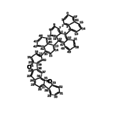 c1ccc2c(-c3c4ccccc4c(-c4ccc(-c5ccc6oc7cc8ccc9c%10ccccc%10oc9c8cc7c6c5)c5ccccc45)c4ccccc34)cccc2c1